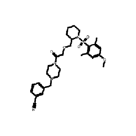 COc1cc(C)c(S(=O)(=O)N2CCCCC2COCC(=O)N2CCN(Cc3cccc(C#N)c3)CC2)c(C)c1